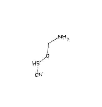 NCOBO